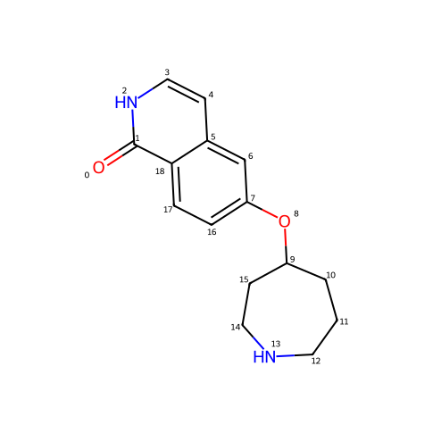 O=c1[nH]ccc2cc(OC3CCCNCC3)ccc12